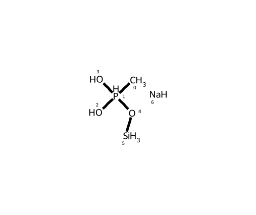 C[PH](O)(O)O[SiH3].[NaH]